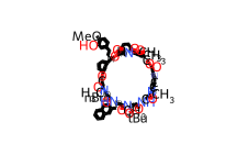 CCCC[C@H]1C(=O)N[C@@H](Cc2ccc3ccccc3c2)C(=O)N(C)[C@@H](COC(C)(C)C)C(=O)NCC(=O)N(C)CC/C=C/C(=O)OCC(C)(C)C(=O)C(=O)N2CCCC[C@H]2C(=O)O[C@H](CCc2ccc(OC)c(O)c2)c2cccc(c2)OCC(=O)N1C